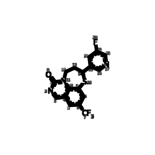 O=c1ncc2cc(C(F)(F)F)cc3c2n1CCC(c1cncc(F)c1)S3